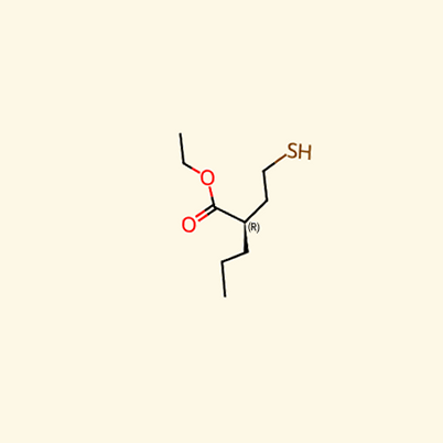 CCC[C@H](CCS)C(=O)OCC